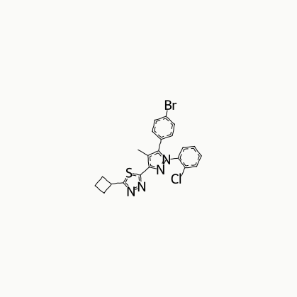 Cc1c(-c2nnc(C3CCC3)s2)nn(-c2ccccc2Cl)c1-c1ccc(Br)cc1